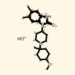 COC1CCC(C)(N2CCC(n3c(=O)[nH]c4cc(C)c(C)cc43)CC2)CC1.Cl